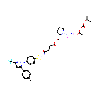 Cc1ccc(-c2cc(C(F)(F)F)nn2-c2ccc(S(=O)(=O)NC(=O)CCC(=O)OC[C@@H]3CCCN3/[N+]([O-])=N/OC(C)OC(=O)OC(C)C)cc2)cc1